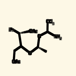 CC(=O)OCC(O[C@@H](C)OC(N)C(Cl)(Cl)Cl)[C@@H](OC(C)=O)C(C)C